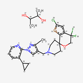 Cc1nn(-c2ncccc2C2CC2)cc1CN1CCC2(CC1)OCC(F)(F)c1cc(Cl)sc12.O=C(O)C(O)C(O)C(=O)O